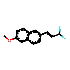 COc1ccc2cc(/C=C/C(F)F)ccc2c1